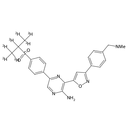 [2H]C([2H])([2H])C([2H])(C([2H])([2H])[2H])S(=O)(=O)c1ccc(-c2cnc(N)c(-c3cc(-c4ccc(CNC)cc4)no3)n2)cc1